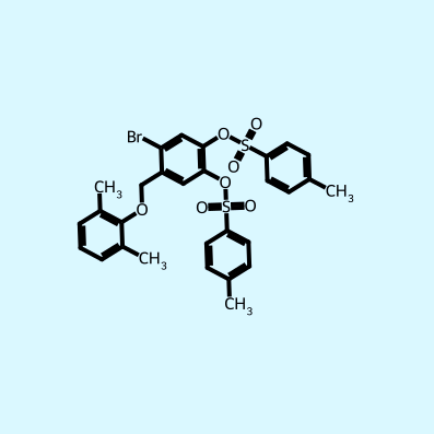 Cc1ccc(S(=O)(=O)Oc2cc(Br)c(COc3c(C)cccc3C)cc2OS(=O)(=O)c2ccc(C)cc2)cc1